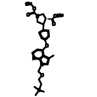 COC(=O)[C@H]1CN(C(=O)OC(C)(C)C)CC1c1ccc(Oc2ccnc3c2c(C)cn3COCC[Si](C)(C)C)cc1